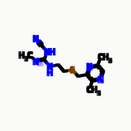 C/N=C(\NC#N)NCCSCc1nc(C)cnc1C